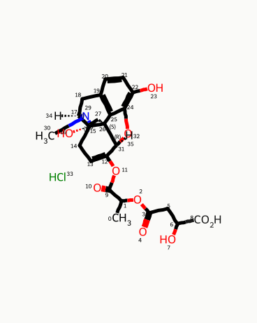 CC(OC(=O)CC(O)C(=O)O)C(=O)OC1=CC[C@@]2(O)[C@H]3Cc4ccc(O)c5c4[C@@]2(CCN3C)[C@H]1O5.Cl